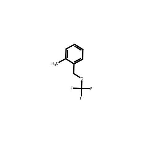 Cc1ccccc1COC(F)(F)F